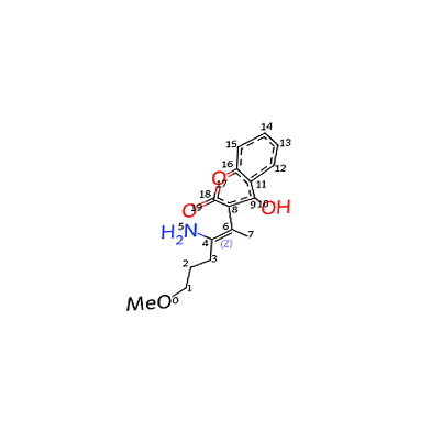 COCCC/C(N)=C(\C)c1c(O)c2ccccc2oc1=O